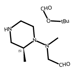 CC(C)(C)OC=O.C[C@H]1CNCCN1N(C)CC=O